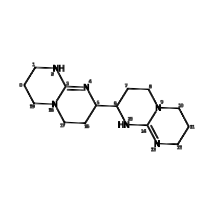 C1CNC2=NC(C3CCN4CCCN=C4N3)CCN2C1